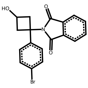 O=C1c2ccccc2C(=O)N1C1(c2ccc(Br)cc2)CC(O)C1